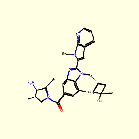 CCn1c(-c2nc3cc(C(=O)N4C[C@@H](C)[C@@H](N)[C@H]4C)cc(OC)c3n2C[C@H]2C[C@@](C)(O)C2)cc2cccnc21